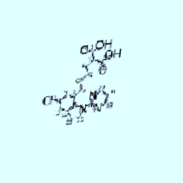 O=C(O)C(C/C=C/Cc1cc(Cl)cc2c1N(c1ncccn1)CC2)C(=O)O